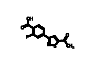 CC(=O)c1cc(-c2ccc(C(=O)O)c(F)c2)ns1